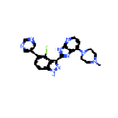 CN1CCN(c2ccnc3[nH]c(-c4n[nH]c5ccc(-c6cncnc6)c(F)c45)nc23)CC1